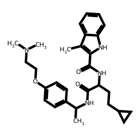 Cc1c(C(=O)NC(CCC2CC2)C(=O)NC(C)c2ccc(OCCN(C)C)cc2)[nH]c2ccccc12